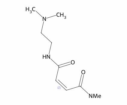 CNC(=O)/C=C\C(=O)NCCN(C)C